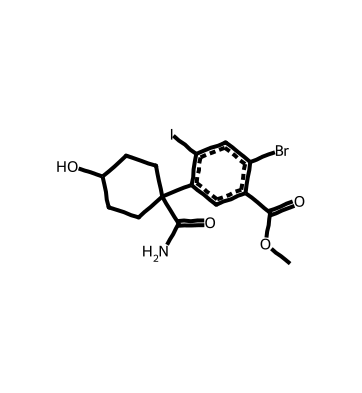 COC(=O)c1cc(C2(C(N)=O)CCC(O)CC2)c(I)cc1Br